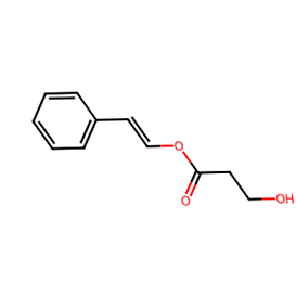 O=C(CCO)OC=Cc1ccccc1